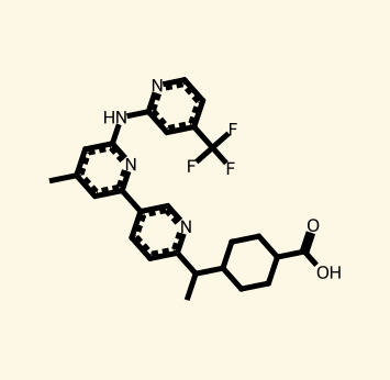 Cc1cc(Nc2cc(C(F)(F)F)ccn2)nc(-c2ccc(C(C)C3CCC(C(=O)O)CC3)nc2)c1